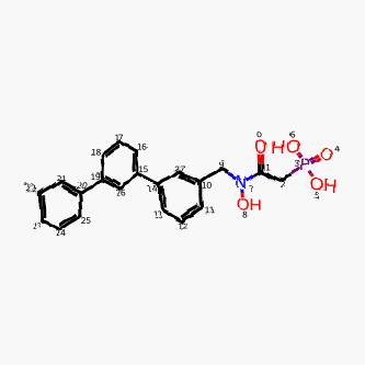 O=C(CP(=O)(O)O)N(O)Cc1cccc(-c2cccc(-c3ccccc3)c2)c1